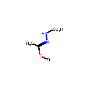 CCOC(C)=NNC(=O)O